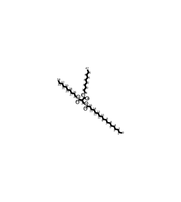 CCCCCCCCCCCCCCCCCC(=O)OCC(C(=O)OCCCCCCCCCC)C(=O)OCCCCCCCCCC